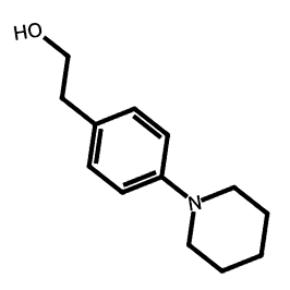 OCCc1ccc(N2CCCCC2)cc1